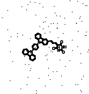 O=C1NC(=O)C(=C/C=C/c2ccc3c(c2)c2ccccc2n3-c2ccc(-n3c4ccccc4c4ccccc43)cc2)C(=O)N1